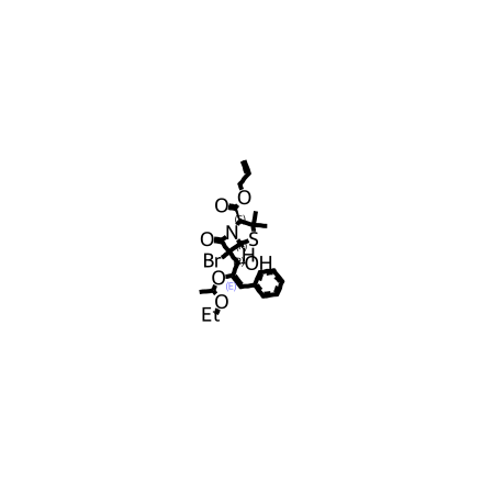 C=CCOC(=O)[C@@H]1N2C(=O)C(Br)([C@H](O)/C(=C\c3ccccc3)OC(C)OCC)[C@H]2SC1(C)C